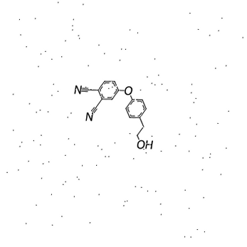 N#Cc1ccc(Oc2ccc(CCO)cc2)cc1C#N